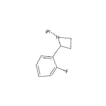 CC(C)N1CCC1c1ccccc1F